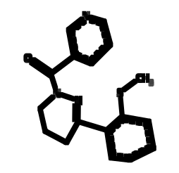 CSc1ccccc1C1=NN(C(=O)c2cccnc2)CCC1